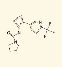 O=C(N=c1sccn1-c1ccc(C(F)(F)F)nc1)N1CCCC1